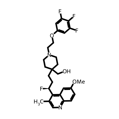 COc1ccc2ncc(C)c([C@@H](F)CCC3(CO)CCN(CCOc4cc(F)c(F)c(F)c4)CC3)c2c1